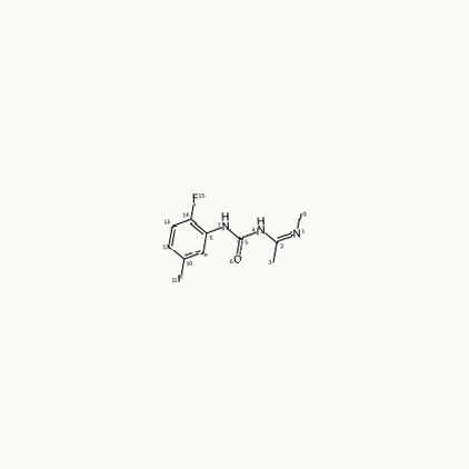 C/N=C(/C)NC(=O)Nc1cc(F)ccc1F